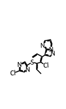 C=C/C(=C(Cl)\C(=C/C)Sc1cnc(Cl)cn1)c1cnn2cccnc12